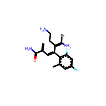 C=C(/C=C(\C(CCN)=C(/N)CC)c1c(C)cc(F)cc1F)C(N)=O